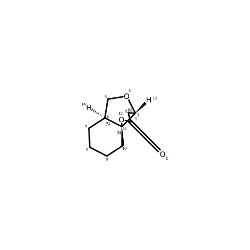 O=C1C[C@@H]2OC[C@@H]3CCCC[C@]32O1